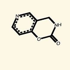 O=C1NCc2cnccc2O1